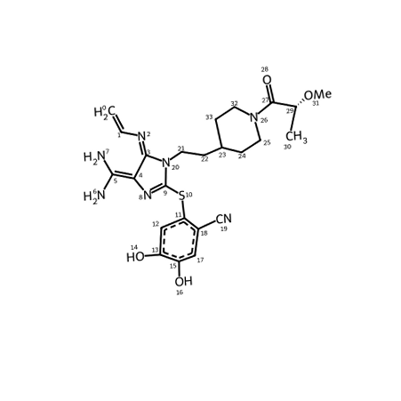 C=C/N=C1\C(=C(N)N)N=C(Sc2cc(O)c(O)cc2C#N)N1CCC1CCN(C(=O)[C@@H](C)OC)CC1